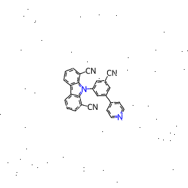 N#Cc1cc(-c2ccncc2)cc(-n2c3c(C#N)cccc3c3cccc(C#N)c32)c1